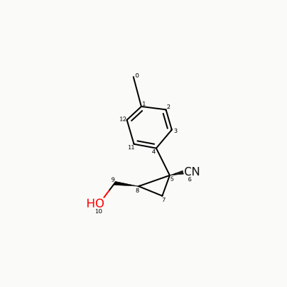 Cc1ccc([C@]2(C#N)C[C@H]2CO)cc1